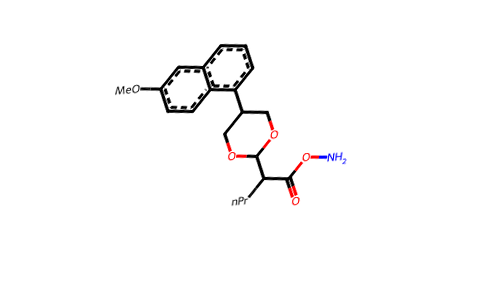 CCCC(C(=O)ON)C1OCC(c2cccc3cc(OC)ccc23)CO1